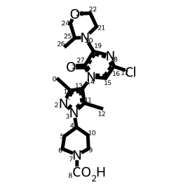 Cc1nn(C2CCN(C(=O)O)CC2)c(C)c1-n1cc(Cl)nc(N2CCOCC2C)c1=O